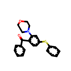 O=C(c1ccccc1)c1ccc(Sc2ccccc2)cc1N1CCOCC1